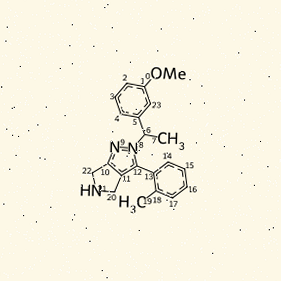 COc1cccc(C(C)n2nc3c(c2-c2ccccc2C)CNC3)c1